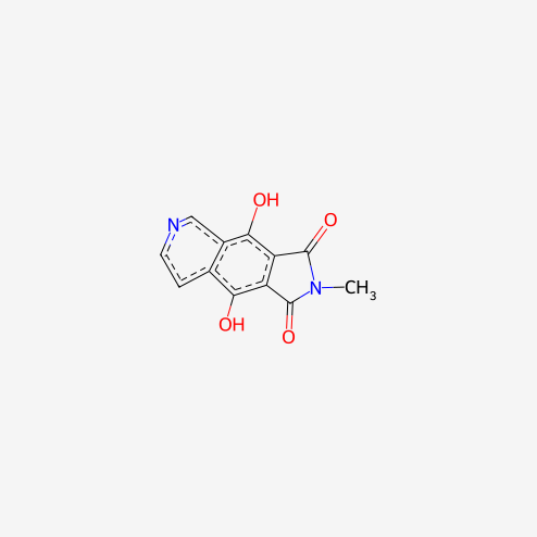 CN1C(=O)c2c(c(O)c3cnccc3c2O)C1=O